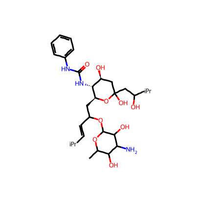 CC(C)/C=C/C(C[C@@H]1OC(O)(CC(O)C(C)C)C[C@H](O)[C@H]1NC(=O)Nc1ccccc1)OC1OC(C)C(O)C(N)C1O